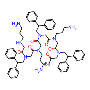 CCCCC(=O)CN(CC(c1ccccc1)c1ccccc1)C(=O)CN(CCCN)C(=O)CN(CC(c1ccccc1)c1ccccc1)C(=O)CN(CCCN)C(=O)CN(CC(c1ccccc1)c1ccccc1)C(=O)CNCCCN